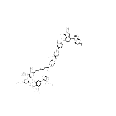 Cc1ncsc1-c1ccc([C@H](C)NC(=O)[C@@H]2C[C@@H](O)CN2C(=O)[C@@H](NC(=O)CCCCCC(=O)N2CCN(CC3(O)CCN(c4ccc(Nc5ccc(-c6cnc7cc(F)ccn67)c6c5C(=O)NC6)nc4)CC3)CC2)C(C)(C)C)cc1